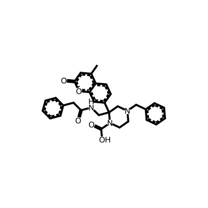 Cc1cc(=O)oc2cc(C3(CNC(=O)Cc4ccccc4)CN(Cc4ccccc4)CCN3C(=O)O)ccc12